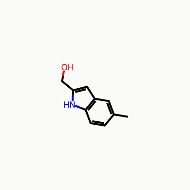 Cc1ccc2[nH]c(CO)cc2c1